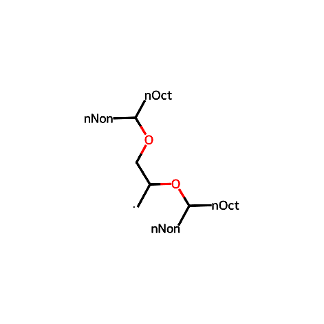 [CH2]C(COC(CCCCCCCC)CCCCCCCCC)OC(CCCCCCCC)CCCCCCCCC